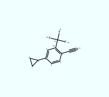 N#Cc1[c]cc(C2CC2)cc1C(F)(F)F